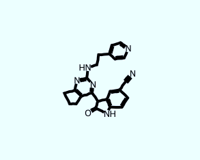 N#Cc1ccc2c(c1)C(c1nc(NCCc3ccncc3)nc3c1CCC3)C(=O)N2